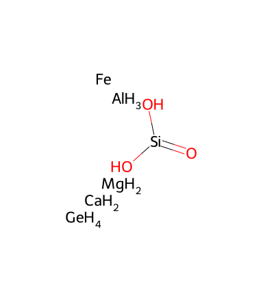 O=[Si](O)O.[AlH3].[CaH2].[Fe].[GeH4].[MgH2]